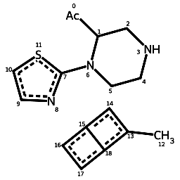 CC(=O)C1CNCCN1c1nccs1.Cc1cc2ccc1-2